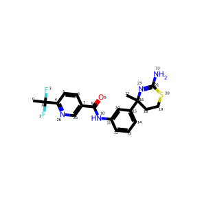 CC(F)(F)c1ccc(C(=O)Nc2cccc(C3(C)CCSC(N)=N3)c2)cn1